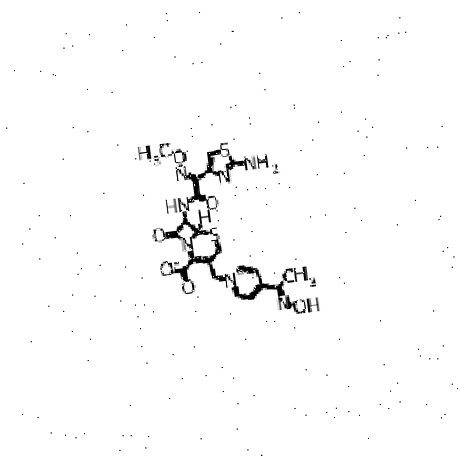 CON=C(C(=O)NC1C(=O)N2C(C(=O)[O-])=C(C[n+]3ccc(C(C)=NO)cc3)CS[C@@H]12)c1csc(N)n1